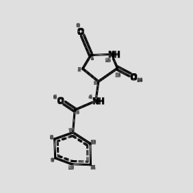 O=C1CC(NC(=O)c2ccccc2)C(=O)N1